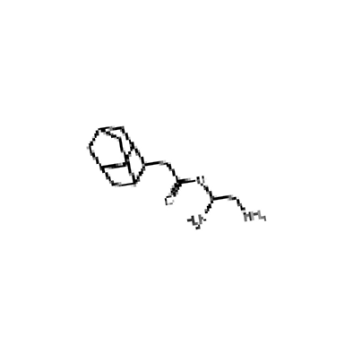 NCC(N)OC(=O)CC1C2CC3CC(C2)CC1C3